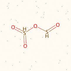 O=[SH]O[SH](=O)=O